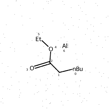 CCCCCC(=O)OCC.[Al]